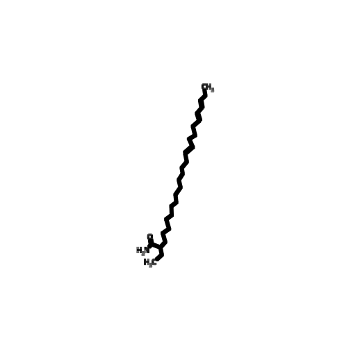 CCC=CC=CCCCC=CCCCCCCCCCCCCCC(CC)C(N)=O